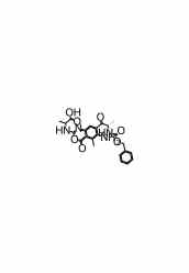 Cc1c(N)c(C(=O)[C@H](C)NC(=O)OCc2ccccc2)cc2nc(NC(C)C(=O)O)oc(=O)c12